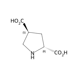 O=C(O)[C@@H]1CN[C@@H](C(=O)O)C1